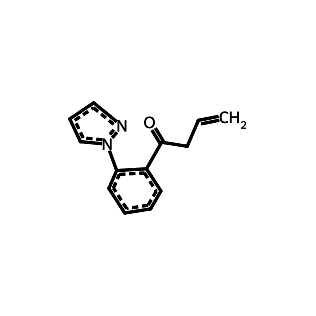 C=CCC(=O)c1ccccc1-n1cccn1